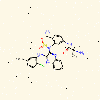 COc1ccc(Cl)c(Nc2nc3ccccc3nc2N(c2cc(NC(=O)C(C)(C)N)ccc2CN)[SH](=O)=O)c1